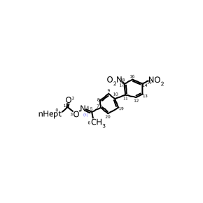 CCCCCCCC(=O)O/N=C(\C)c1ccc(-c2ccc([N+](=O)[O-])cc2[N+](=O)[O-])cc1